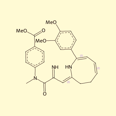 COC(=O)c1ccc(N(C)C(=O)C(=N)/C=C2/CC/C=C\C=C(\c3ccc(OC)c(OC)c3)N2)cc1